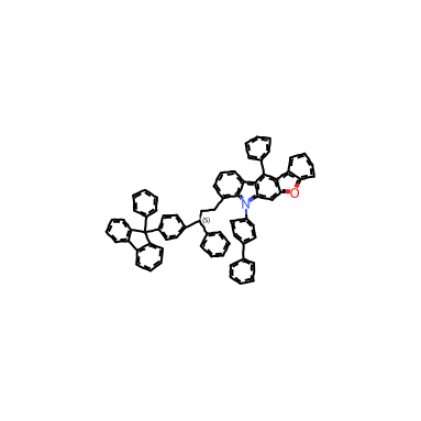 c1ccc(-c2ccc(-n3c4cc5oc6ccccc6c5c(-c5ccccc5)c4c4cccc(CC[C@@H](c5ccccc5)c5ccc(C6(c7ccccc7)c7ccccc7-c7ccccc76)cc5)c43)cc2)cc1